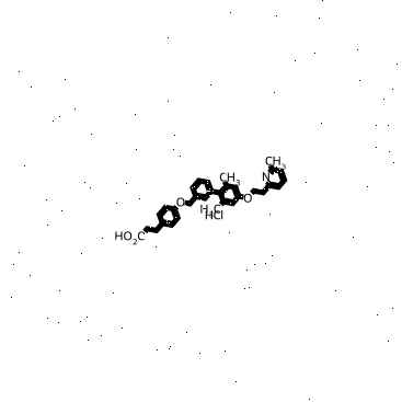 Cc1cccc(CCOc2cc(C)c(-c3cccc(COc4ccc(CCC(=O)O)cc4)c3)c(C)c2)n1.Cl